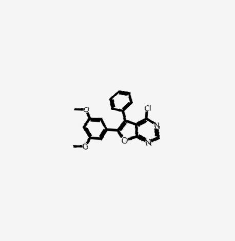 COc1cc(OC)cc(-c2oc3ncnc(Cl)c3c2-c2ccccc2)c1